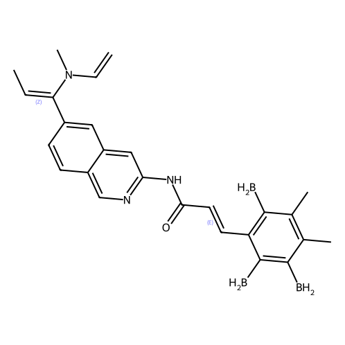 Bc1c(B)c(/C=C/C(=O)Nc2cc3cc(/C(=C/C)N(C)C=C)ccc3cn2)c(B)c(C)c1C